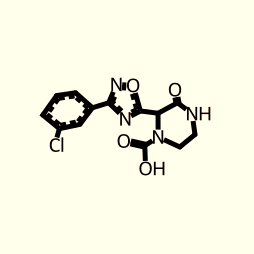 O=C1NCCN(C(=O)O)C1c1nc(-c2cccc(Cl)c2)no1